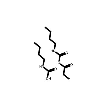 CCCCNC(=O)O.CCCCNC(=O)OC(=O)CC